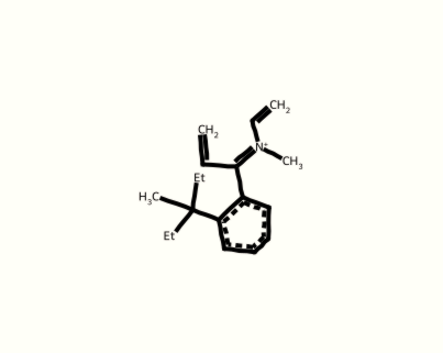 C=C/C(c1ccccc1C(C)(CC)CC)=[N+](/C)C=C